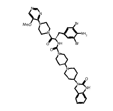 COc1cncnc1N1CCN(C(=O)[C@@H](Cc2cc(Br)c(N)c(Br)c2)NC(=O)N2CCC(N3CCC(N4Cc5ccccc5NC4=O)CC3)CC2)CC1